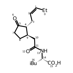 CC/C=C\C[C@H]1C(=O)CC[C@@H]1CC(=O)N[C@H](C(=O)O)[C@@H](C)CC